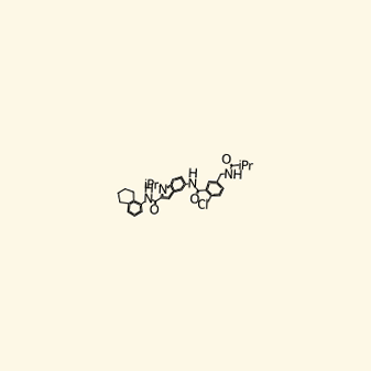 CC(C)C(=O)NCc1ccc(Cl)c(C(=O)Nc2ccc3c(c2)cc(C(=O)Nc2cccc4c2CCCC4)n3C(C)C)c1